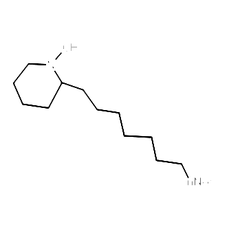 CCCCCCCCCCCCCCCCC1CCCCN1C